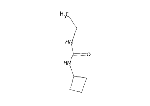 CCNC(=O)NC1CCC1